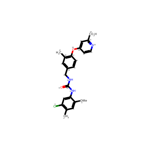 COc1cc(C)c(Cl)cc1NC(=O)NCc1ccc(Oc2ccnc(C(=O)O)c2)c(C)c1